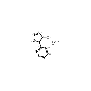 O=C1N=NOC1c1ncccn1.[Co+2]